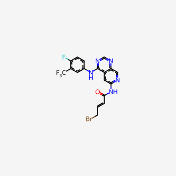 O=C(C=CCBr)Nc1cc2c(Nc3ccc(F)c(C(F)(F)F)c3)ncnc2cn1